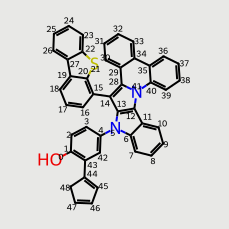 Oc1ccc(-n2c3ccccc3c3c2c(-c2cccc4c2sc2ccccc24)c2c4ccccc4c4ccccc4n23)cc1C1=CC=CC1